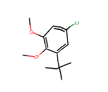 COc1cc(Cl)cc(C(C)(C)C)c1OC